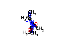 C=CCn1c(=O)c2cnc(Nc3ccc(N4CCN(C)CC4)c(C)c3)nc2n1-c1cccc(CN(C)C(C)=O)n1